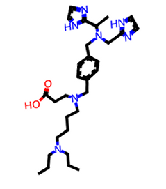 CCCN(CCC)CCCCN(CCC(=O)O)Cc1ccc(CN(Cc2ncc[nH]2)C(C)c2ncc[nH]2)cc1